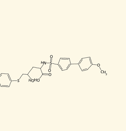 COc1ccc(-c2ccc(S(=O)(=O)NC(CC(O)CSc3ccccc3)C(=O)O)cc2)cc1